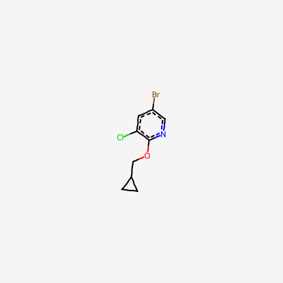 Clc1cc(Br)cnc1OCC1CC1